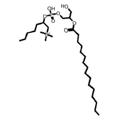 CCCCCCCCCCCCCCCC(=O)OC(CO)COP(=O)(O)OC(CCCCC)C[N+](C)(C)C